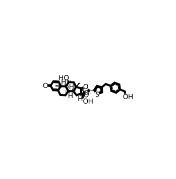 C[C@]12C=CC(=O)C=C1CC[C@@H]1[C@@H]2[C@@H](O)C[C@@]2(C)[C@H]1C[C@H]1O[C@@H](c3cc(Cc4ccc(CO)cc4)cs3)O[C@]12C(=O)CO